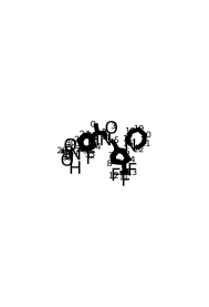 CC(C(=O)NCc1ccc(C(F)(F)F)cc1N1CCCCCC1)c1ccc(NS(C)(=O)=O)c(F)c1